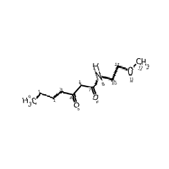 CCCCC(=O)CC(=O)NCCOC